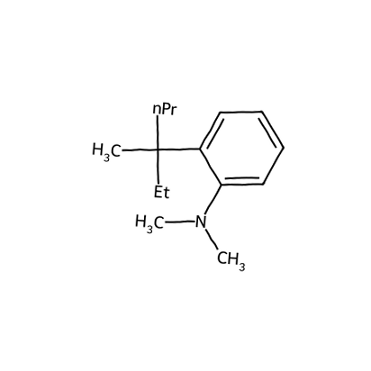 CCCC(C)(CC)c1ccccc1N(C)C